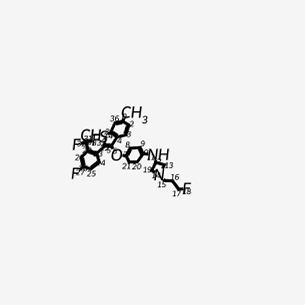 Cc1ccc2c(OC3=CC=C(NC4CN(CCCF)C4)CC3)c(-c3ccc(F)cc3C(C)(F)F)sc2c1